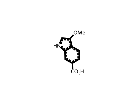 COc1c[nH]c2cc(C(=O)O)ccc12